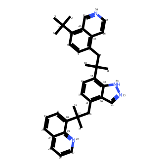 CC(C)(C)c1ccc(CC(C)(C)c2ccc(CC(C)(C)c3cccc4cccnc34)c3cn[nH]c23)c2ccncc12